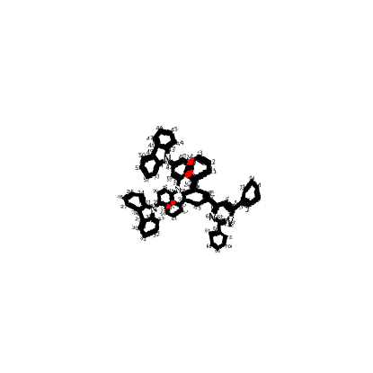 c1ccc(-c2cc(-c3cc(-c4ccccc4)c(N(c4ccc(-n5c6ccccc6c6ccccc65)cc4)c4cccc(-n5c6ccccc6c6ccccc65)c4)c(-c4ccccc4)c3)nc(-c3ccccc3)n2)cc1